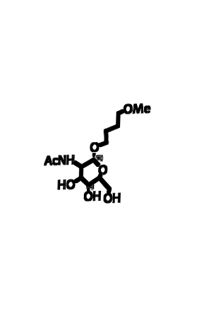 COCCCCO[C@@H]1OC(CO)[C@H](O)C(O)C1NC(C)=O